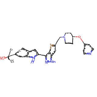 CCC(O)(CC)c1ccc2cc(-c3n[nH]c4cc(CN5CCC(Oc6ccncc6)CC5)sc34)[nH]c2c1